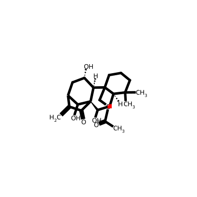 C=C1C(=O)[C@@]23C(O)C[C@@H]4C(C)(C)CCCC4(COC(C)=O)[C@@H]2[C@@H](O)CC1C3O